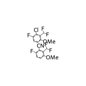 COc1ccc(F)c(C#N)c1C(F)F.COc1ccc(F)c(Cl)c1C(F)F